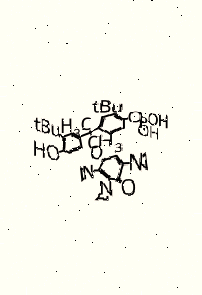 CC(C)(C)c1cc(C(C)(C)c2ccc(OP(O)O)c(C(C)(C)C)c2)ccc1O.O=C1C=C(N2CC2)C(=O)C(N2CC2)=C1N1CC1